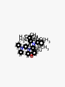 Cc1cc2c(cc1N1c3cc4c(cc3B3c5ccc(N(c6ccccc6)c6ccccc6)cc5N(c5cccc6oc7ccccc7c56)c5cc(C(C)(C)C)cc1c53)C(C)(C)CC4(C)C)C(C)(C)CCC2(C)C